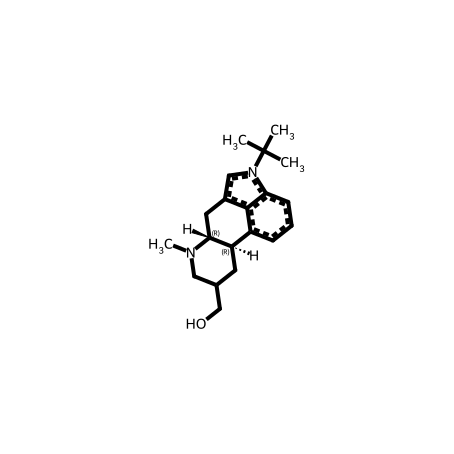 CN1CC(CO)C[C@@H]2c3cccc4c3c(cn4C(C)(C)C)C[C@H]21